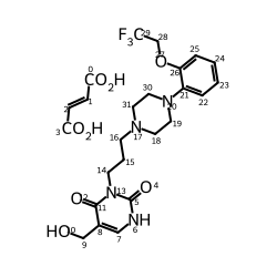 O=C(O)C=CC(=O)O.O=c1[nH]cc(CO)c(=O)n1CCCN1CCN(c2ccccc2OCC(F)(F)F)CC1